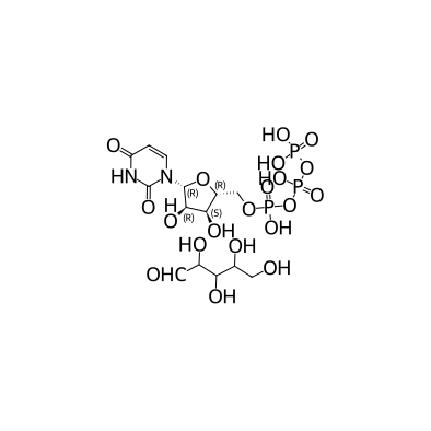 O=CC(O)C(O)C(O)CO.O=c1ccn([C@@H]2O[C@H](COP(=O)(O)OP(=O)(O)OP(=O)(O)O)[C@@H](O)[C@H]2O)c(=O)[nH]1